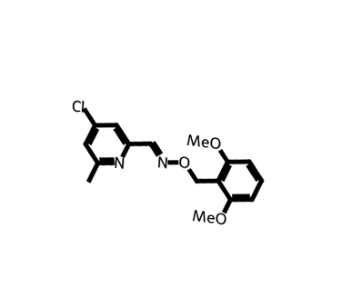 COc1cccc(OC)c1CON=Cc1cc(Cl)cc(C)n1